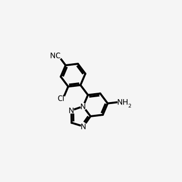 N#Cc1ccc(-c2cc(N)cc3ncnn23)c(Cl)c1